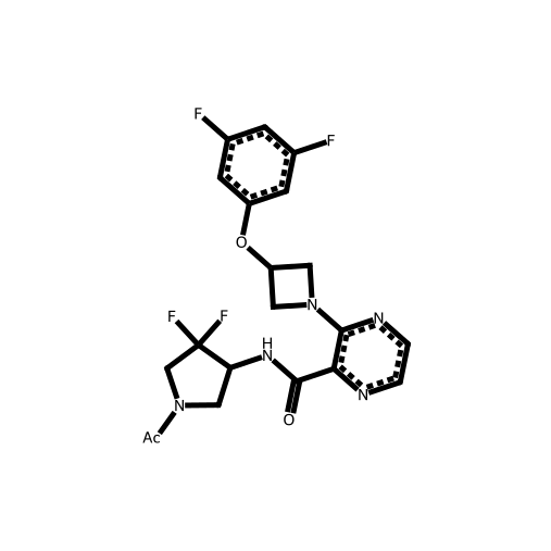 CC(=O)N1CC(NC(=O)c2nccnc2N2CC(Oc3cc(F)cc(F)c3)C2)C(F)(F)C1